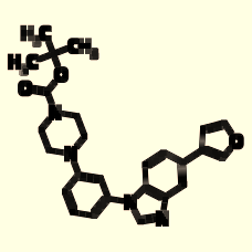 CC(C)(C)OC(=O)N1CCN(c2cccc(-n3cnc4cc(-c5ccoc5)ccc43)c2)CC1